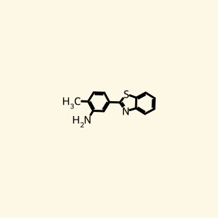 Cc1ccc(-c2nc3ccccc3s2)cc1N